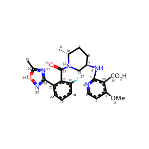 COc1ccnc(N[C@@H]2CC[C@@H](C)N(C(=O)c3c(F)cccc3-c3noc(C)n3)C2)c1C(=O)O